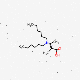 CCCCCCN(CCCCCC)/C(C)=C(\C)C(=O)O